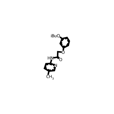 Cc1ccc(NC(=O)COc2cccc(OCC(C)C)c2)nc1